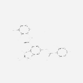 Cc1c(Cl)cccc1NC(=O)c1cc(NC(=O)c2ccccc2C(F)(F)F)cc2[nH]c(N)nc12.Cl